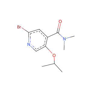 CC(C)Oc1cnc(Br)cc1C(=O)N(C)C